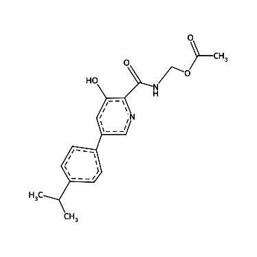 CC(=O)OCNC(=O)c1ncc(-c2ccc(C(C)C)cc2)cc1O